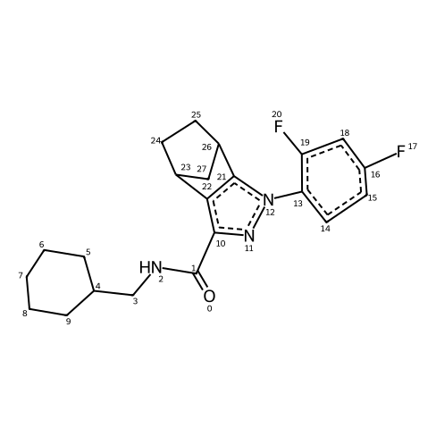 O=C(NCC1CCCCC1)c1nn(-c2ccc(F)cc2F)c2c1C1CCC2C1